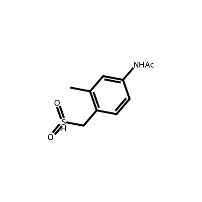 CC(=O)Nc1ccc(C[SH](=O)=O)c(C)c1